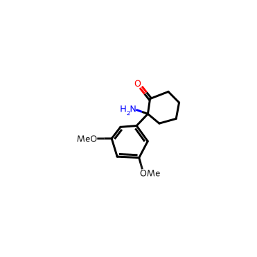 COc1cc(OC)cc(C2(N)CCCCC2=O)c1